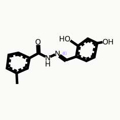 Cc1cccc(C(=O)N/N=C/c2ccc(O)cc2O)c1